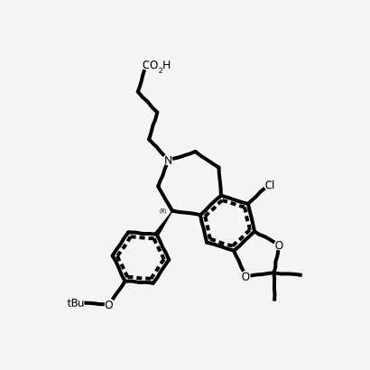 CC(C)(C)Oc1ccc([C@H]2CN(CCCC(=O)O)CCc3c2cc2c(c3Cl)OC(C)(C)O2)cc1